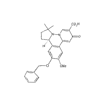 COc1cc2c(cc1OCc1ccccc1)[C@H]1CCC(C)(C)N1n1cc(C(=O)O)c(=O)cc1-2